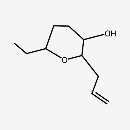 C=CCC1OC(CC)CCC1O